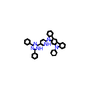 C1=CC(n2c3ccccc3c3cc4c5ccccc5n(C5C=CC(C6N=C(c7ccccc7)N=C(c7ccccc7)N6)=CN5)c4cc32)=CCC1